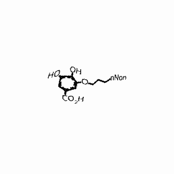 CCCCCCCCCCCCOc1cc(C(=O)O)cc(O)c1O